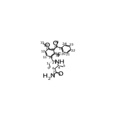 CC[C@@H](N[C@@H](C)CC(N)=O)c1ccc(OC)c(C(=O)c2ccccc2)c1F